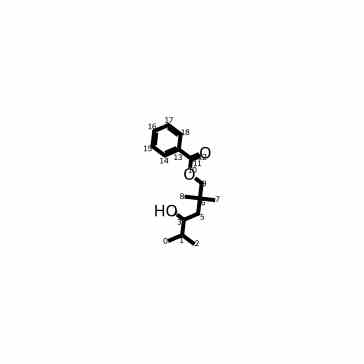 CC(C)C(O)CC(C)(C)COC(=O)c1ccccc1